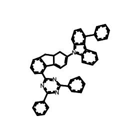 C1=C2c3c(cccc3-c3nc(-c4ccccc4)nc(-c4ccccc4)n3)CC2CC(n2c3ccccc3c3c(-c4ccccc4)cccc32)=C1